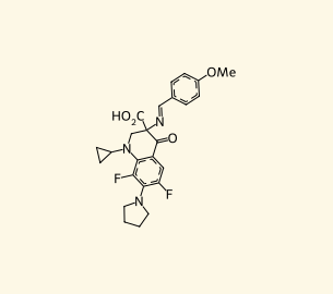 COc1ccc(C=NC2(C(=O)O)CN(C3CC3)c3c(cc(F)c(N4CCCC4)c3F)C2=O)cc1